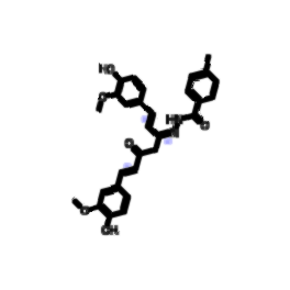 COc1cc(/C=C/C(=O)CC(/C=C/c2ccc(O)c(OC)c2)=N/NC(=O)c2ccc(C)cc2)ccc1O